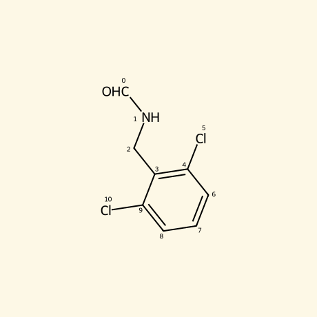 O=CNCc1c(Cl)cccc1Cl